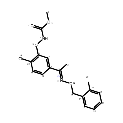 COC(=O)NOc1cc(/C(C)=N/OCc2ccccc2I)ccc1Cl